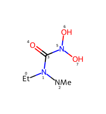 CCN(NC)C(=O)N(O)O